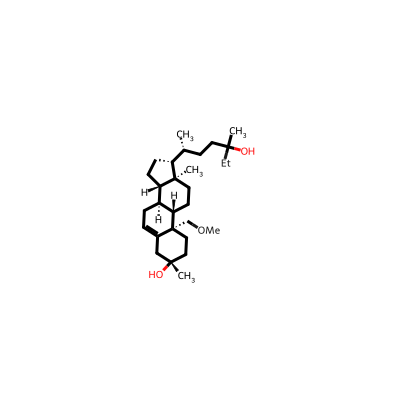 CCC(C)(O)CC[C@@H](C)[C@H]1CC[C@H]2[C@@H]3CC=C4C[C@@](C)(O)CC[C@]4(COC)[C@H]3CC[C@]12C